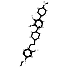 CCOc1ccc(CCC2CCC(c3ccc(C4CCC(OC)CC4)c(F)c3F)CC2)c(F)c1